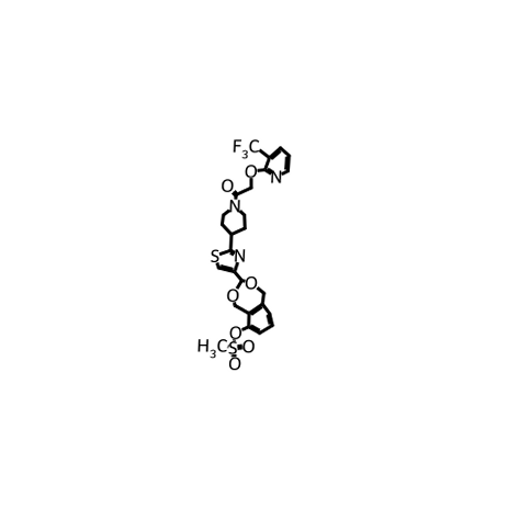 CS(=O)(=O)Oc1cccc2c1COC(c1csc(C3CCN(C(=O)COc4ncccc4C(F)(F)F)CC3)n1)OC2